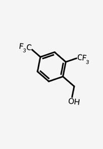 OCc1ccc(C(F)(F)F)cc1C(F)(F)F